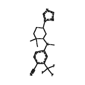 CN(c1ccc(C#N)c(C(F)(F)F)c1)C1CC(n2cncn2)CCC1(C)C